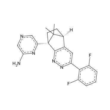 CC1(C)[C@H]2CC[C@]1(c1cncc(N)n1)c1nnc(-c3c(F)cccc3F)cc12